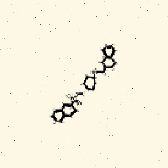 O=S(=O)(NC[C@H]1CC[C@H](NCC2CCc3ccccc3C2)CC1)c1ccc2ccccc2c1